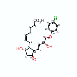 O=C(O)CCC/C=C\C[C@H]1[C@@H](O)CC(=O)[C@@H]1/C=C/[C@H](O)COc1ccc(Cl)cc1